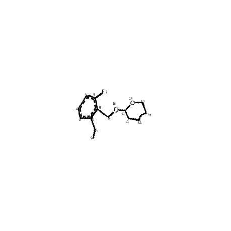 CCc1cccc(F)c1COC1CCCCO1